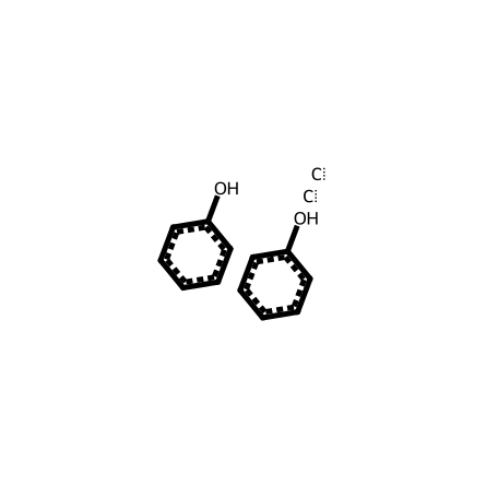 Oc1ccccc1.Oc1ccccc1.[C].[C]